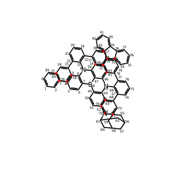 c1ccc(-c2ccc3c(c2)N(c2c(-c4ccccc4)cccc2-c2ccccc2)c2cc(-n4c5ccccc5c5ccccc54)cc4c2B3c2ccc(N3C5CC6CC(C5)CC3C6)cc2N4c2c(-c3ccccc3)cccc2-c2ccccc2)cc1